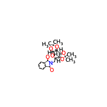 CC1(C)O[C@H]2[C@@H](O1)[C@@H](CN1C(=O)c3ccccc3C1=O)O[C@@H]1OC(C)(C)O[C@@H]12